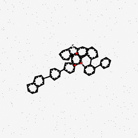 c1ccc(-c2ccccc2-c2c(-c3ccccc3)cccc2N(c2ccc(-c3ccc(-c4ccc5ccccc5c4)cc3)cc2)c2cccc3sc4ccccc4c23)cc1